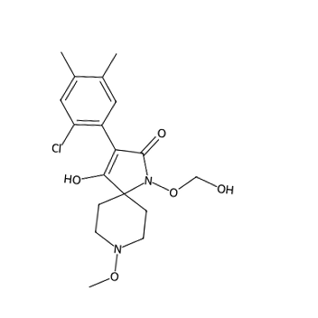 CON1CCC2(CC1)C(O)=C(c1cc(C)c(C)cc1Cl)C(=O)N2OCO